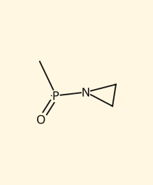 C[P](=O)N1CC1